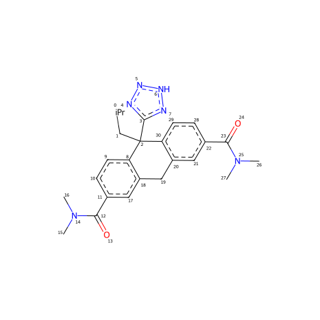 CC(C)CC1(c2nn[nH]n2)c2ccc(C(=O)N(C)C)cc2Cc2cc(C(=O)N(C)C)ccc21